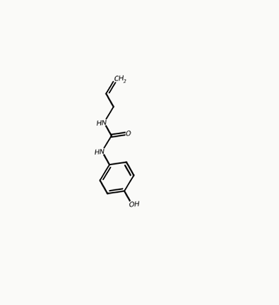 C=CCNC(=O)Nc1ccc(O)cc1